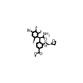 COC(=O)c1ccc(C(C(N)=O)c2c(F)cc(Br)c(F)c2F)c(NC[C@@H]2CCO2)c1